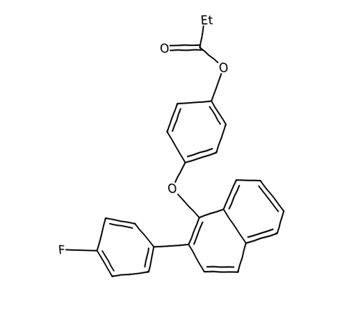 CCC(=O)Oc1ccc(Oc2c(-c3ccc(F)cc3)ccc3ccccc23)cc1